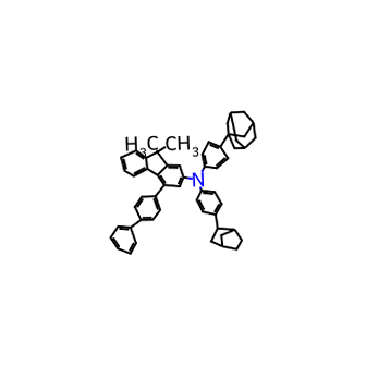 CC1(C)c2ccccc2-c2c(-c3ccc(-c4ccccc4)cc3)cc(N(c3ccc(C4CC5CCC4C5)cc3)c3ccc(C45CC6CC(CC(C6)C4)C5)cc3)cc21